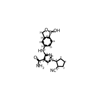 N#CC1CCCC1n1cc(C(N)=O)c(Nc2ccc3c(c2)COB3O)n1